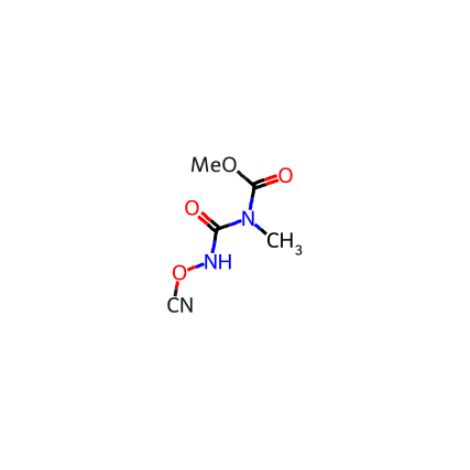 COC(=O)N(C)C(=O)NOC#N